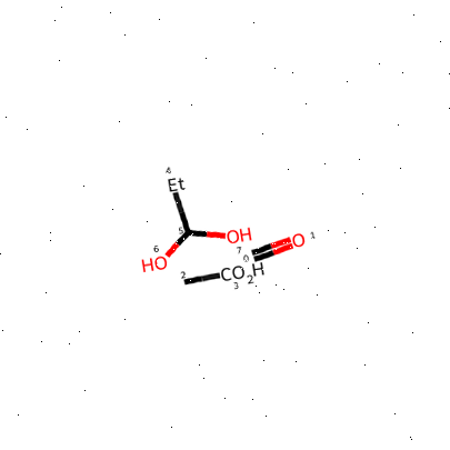 C=O.CC(=O)O.CCC(O)O